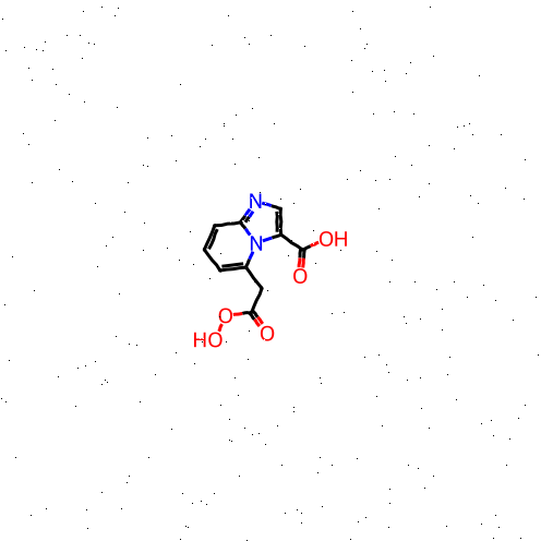 O=C(Cc1cccc2ncc(C(=O)O)n12)OO